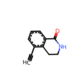 C#Cc1cccc2c1CCNC2=O